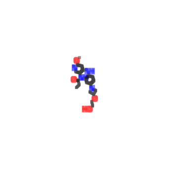 CCC(=O)Nc1cnc(OC)cc1Nc1ccc(N2CC(OCCO)C2)cc1